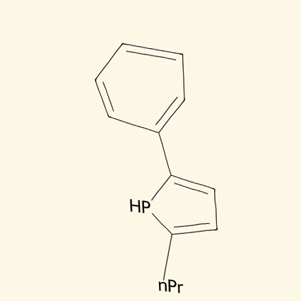 CCCc1ccc(-c2ccccc2)[pH]1